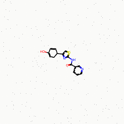 O=C(Nc1nc(C2C=CC(O)=CC2)cs1)c1cccnc1